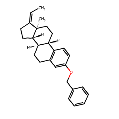 C/C=C1/CC[C@H]2[C@@H]3CCc4cc(OCc5ccccc5)ccc4[C@H]3CC[C@]12C